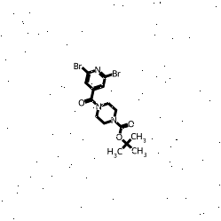 CC(C)(C)OC(=O)N1CCN(C(=O)c2cc(Br)nc(Br)c2)CC1